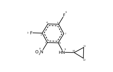 O=[N+]([O-])c1c(F)cc(F)cc1NC1CC1